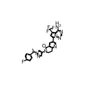 C[C@H](c1ccc(F)cc1)n1cc(N2CCc3ncc(-c4cc(C(F)(F)F)c5c(N)ncnn45)cc3C2=O)cn1